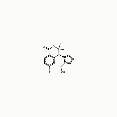 CC1(C)OC(=O)c2ccc(Cl)cc2C1n1cncc1CO